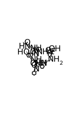 CCC(=O)NCCNC(=O)/N=C(/N)NCCC[C@@H](NC(=O)[C@H](c1cccc(NCCCN)c1)N1Cc2ccccc2C1)C(=O)NCc1ccc(O)cc1.O=C(O)C(F)(F)F